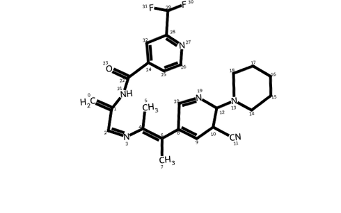 C=C(/C=N\C(C)=C(/C)C1=CC(C#N)C(N2CCCCC2)N=C1)NC(=O)c1ccnc(C(F)F)c1